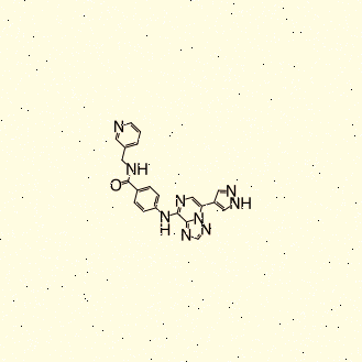 O=C(NCc1cccnc1)c1ccc(Nc2ncc(-c3cn[nH]c3)n3ncnc23)cc1